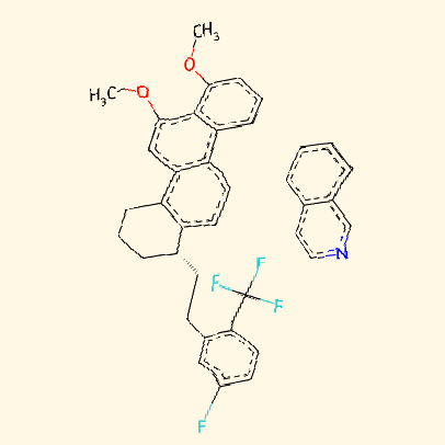 COc1cccc2c1c(OC)cc1c3c(ccc12)[C@H](CCc1cc(F)ccc1C(F)(F)F)CCC3.c1ccc2cnccc2c1